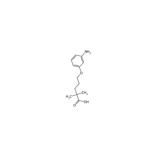 CC(C)(CCCOc1cccc(N)c1)C(=O)O